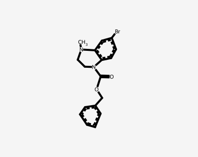 CN1CCN(C(=O)OCc2ccccc2)c2ccc(Br)cc21